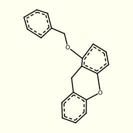 c1ccc(COc2cccc3c2Cc2ccccc2O3)cc1